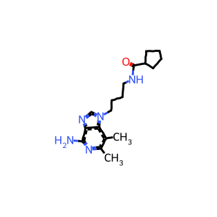 Cc1nc(N)c2ncn(CCCCNC(=O)C3CCCC3)c2c1C